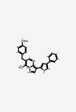 COc1ccc(Cc2cnc3c(-c4cc(-c5ccccc5)cs4)cnn3c2O)cc1